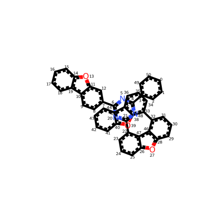 c1ccc(-c2nc(-c3ccc4c(c3)oc3ccccc34)nc(-c3cccc4oc5cccc(-c6cccc7c6oc6ccccc67)c5c34)n2)cc1